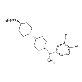 CCCCC[C@H]1CC[C@H](C2CCC(C(C)c3ccc(F)c(F)c3)CC2)CC1